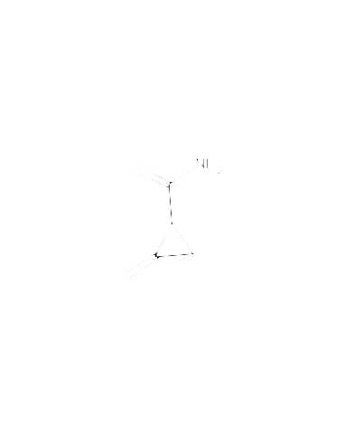 C=C1CC1C(N)=O